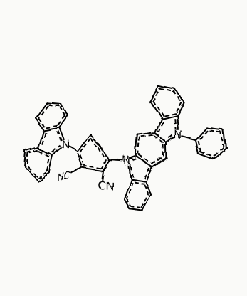 N#Cc1c(-n2c3ccccc3c3ccccc32)ccc(-n2c3ccccc3c3cc4c(cc32)c2ccccc2n4-c2ccccc2)c1C#N